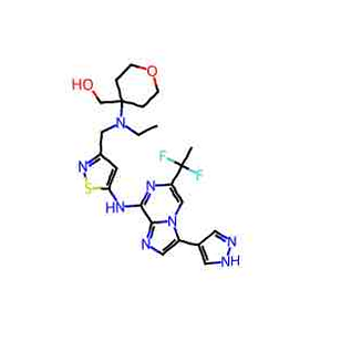 CCN(Cc1cc(Nc2nc(C(C)(F)F)cn3c(-c4cn[nH]c4)cnc23)sn1)C1(CO)CCOCC1